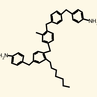 CCCCCCCc1cc(Cc2ccc(N)cc2)ccc1Cc1ccc(Cc2ccc(Cc3ccc(N)cc3)cc2)c(C)c1